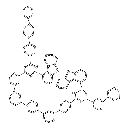 c1ccc(-c2ccc(-c3ccc(-c4nc(-c5cccc(-c6cccc(-c7ccc(-c8cccc(-c9ccc(C%10=NC(c%11cccc(-c%12ccccc%12)c%11)=NC(c%11cccc%12oc%13ccccc%13c%11%12)N%10)cc9)c8)cc7)c6)c5)nc(-c5cccc6oc7ccccc7c56)n4)cc3)cc2)cc1